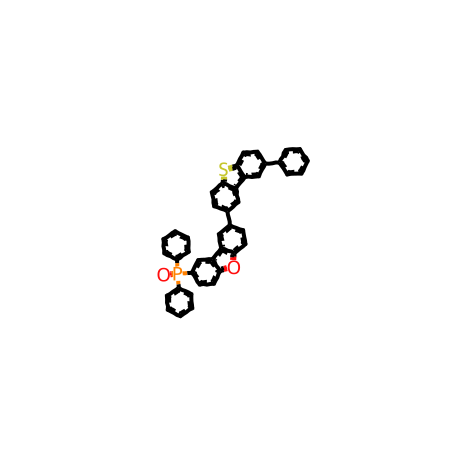 O=P(c1ccccc1)(c1ccccc1)c1ccc2oc3ccc(-c4ccc5sc6ccc(-c7ccccc7)cc6c5c4)cc3c2c1